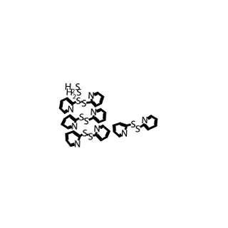 S.S.c1ccc(SSc2ccccn2)nc1.c1ccc(SSc2ccccn2)nc1.c1ccc(SSc2ccccn2)nc1.c1ccc(SSc2ccccn2)nc1